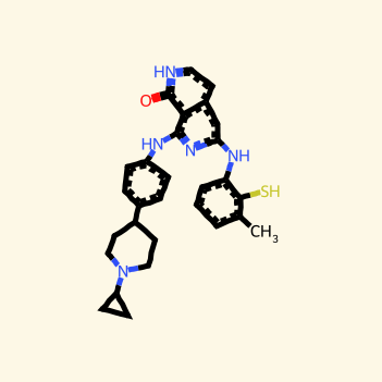 Cc1cccc(Nc2cc3cc[nH]c(=O)c3c(Nc3ccc(C4CCN(C5CC5)CC4)cc3)n2)c1S